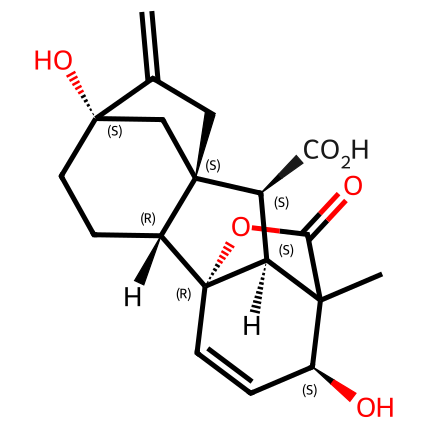 C=C1C[C@]23C[C@@]1(O)CC[C@H]2[C@@]12C=C[C@H](O)C(C)(C(=O)O1)[C@@H]2[C@@H]3C(=O)O